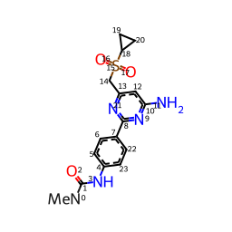 CNC(=O)Nc1ccc(-c2nc(N)cc(CS(=O)(=O)C3CC3)n2)cc1